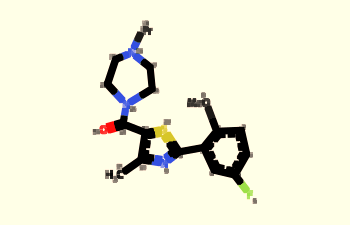 COc1ccc(F)cc1-c1nc(C)c(C(=O)N2CCN(C(C)C)CC2)s1